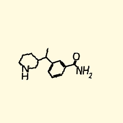 CC(c1cccc(C(N)=O)c1)C1CCCNC1